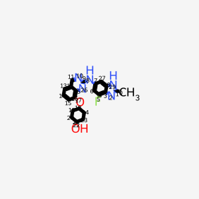 Cc1nc2c(F)cc(Nc3ncc4cccc(O[C@H]5CC[C@@H](O)CC5)c4n3)cc2[nH]1